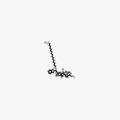 CCCCCCCCCCCCCCCCCCOC[C@H](COP(=O)(O)OC1[C@H]2O[C@@](C#N)(c3ccc4c(N)ncnn34)[C@H](O)[C@@]12O)N1Cc2ccccc2C1